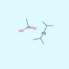 CC(=O)O.C[CH](C)[Ag][CH](C)C